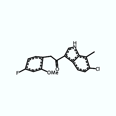 COc1cc(F)ccc1CC(=O)c1c[nH]c2c(C)c(Cl)ccc12